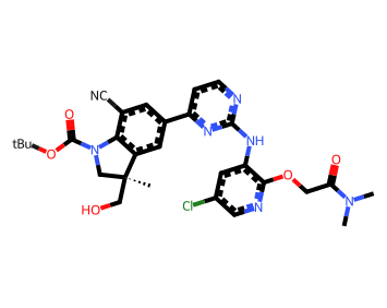 CN(C)C(=O)COc1ncc(Cl)cc1Nc1nccc(-c2cc(C#N)c3c(c2)[C@@](C)(CO)CN3C(=O)OC(C)(C)C)n1